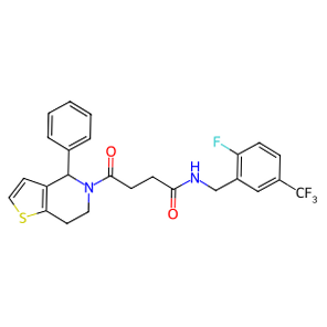 O=C(CCC(=O)N1CCc2sccc2C1c1ccccc1)NCc1cc(C(F)(F)F)ccc1F